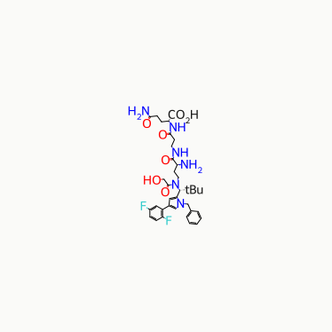 CC(C)(C)[C@H](c1cc(-c2cc(F)ccc2F)cn1Cc1ccccc1)N(CC[C@H](N)C(=O)NCCC(=O)N[C@H](CCC(N)=O)C(=O)O)C(=O)CO